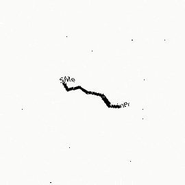 [CH2]CC/C=C/CCCSC